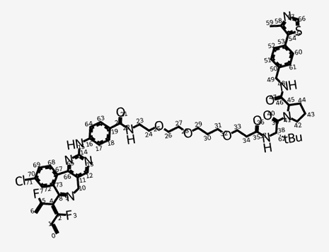 C=C/C(F)=C(\C(=C)F)C1=NCc2cnc(Nc3ccc(C(=O)NCCOCCOCCCOCCC(=O)N[C@H](C(=O)N4CCCC4C(=O)NCc4ccc(-c5scnc5C)cc4)C(C)(C)C)cc3)nc2-c2ccc(Cl)cc21